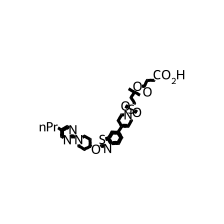 CCCc1cnc(N2CCC(Oc3nc4ccc(C5=CCN(S(=O)(=O)CCC(C)(C)OC(=O)CCC(=O)O)CC5)cc4s3)CC2)nc1